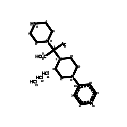 CC(=O)C(C(=O)O)(N1CCNCC1)N1CCN(c2ccncc2)CC1.Cl.Cl.Cl